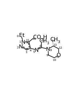 CCn1ncc(/N=C(\C)N2CCOC[C@H]2C)c1C(=O)O